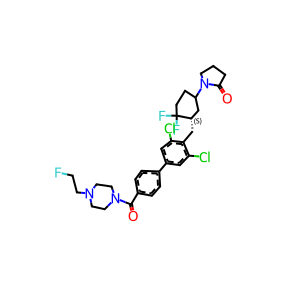 O=C(c1ccc(-c2cc(Cl)c(C[C@H]3CC(N4CCCC4=O)CCC3(F)F)c(Cl)c2)cc1)N1CCN(CCF)CC1